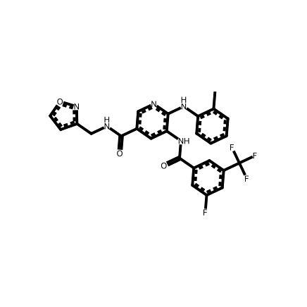 Cc1ccccc1Nc1ncc(C(=O)NCc2ccon2)cc1NC(=O)c1cc(F)cc(C(F)(F)F)c1